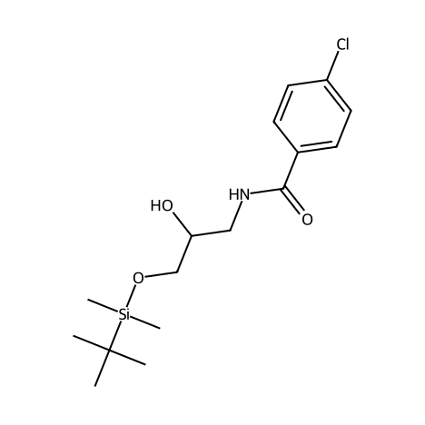 CC(C)(C)[Si](C)(C)OCC(O)CNC(=O)c1ccc(Cl)cc1